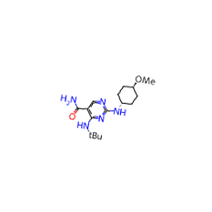 CO[C@H]1CC[C@H](Nc2ncc(C(N)=O)c(NC(C)(C)C)n2)CC1